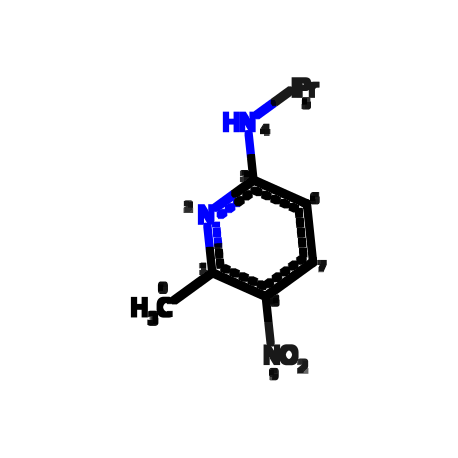 Cc1nc(NC(C)C)ccc1[N+](=O)[O-]